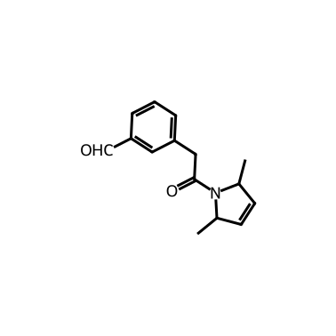 CC1C=CC(C)N1C(=O)Cc1cccc(C=O)c1